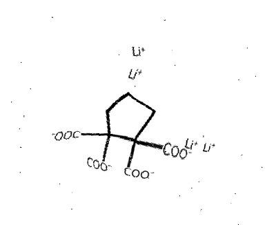 O=C([O-])C1(C(=O)[O-])CCCC1(C(=O)[O-])C(=O)[O-].[Li+].[Li+].[Li+].[Li+]